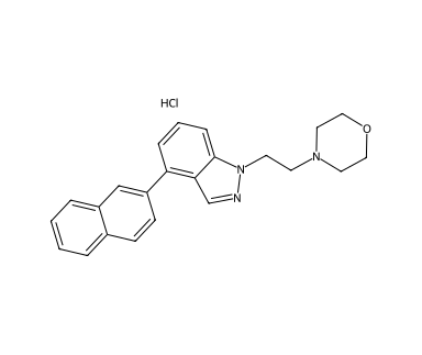 Cl.c1ccc2cc(-c3cccc4c3cnn4CCN3CCOCC3)ccc2c1